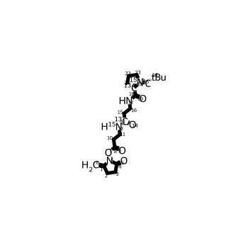 C=C1CCC(=O)N1OC(=O)CC[15NH][13C](=O)CCNC(=O)[13CH]1CCC[15N]1[13CH2][13C]([13CH3])([13CH3])[13CH3]